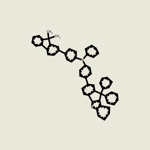 CC1(C)c2ccccc2-c2ccc(-c3ccc(N(c4ccccc4)c4ccc(-c5ccc6c(c5)C(c5ccccc5)(c5ccccc5)c5c-6sc6ccccc56)cc4)cc3)cc21